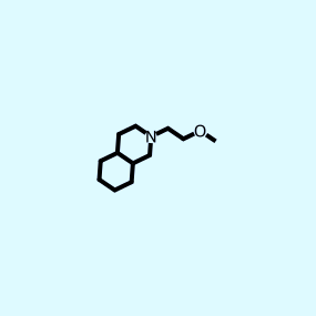 COCCN1CCC2CCCCC2C1